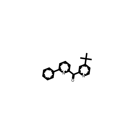 CC(C)(C)c1ccnc(C(=O)c2cccc(-c3ccccc3)n2)c1